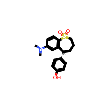 CN(C)c1ccc2c(c1)[C@@H](c1ccc(O)cc1)CCCS2(=O)=O